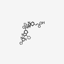 Cn1c(C2(NC(=O)c3ccc4c(C5CCCC5)c(-c5ncc(Cl)cn5)n(C)c4c3)CCC2)nc2cc(/C=C/C(=O)O)ccc21